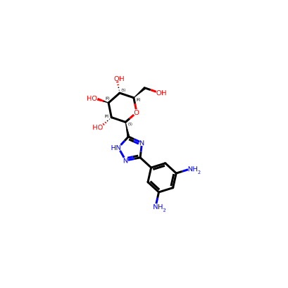 Nc1cc(N)cc(-c2n[nH]c([C@@H]3O[C@H](CO)[C@@H](O)[C@H](O)[C@H]3O)n2)c1